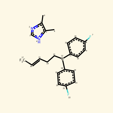 Cc1nc[nH]c1C.Fc1ccc(B(CCC=CC(F)(F)F)c2ccc(F)cc2)cc1